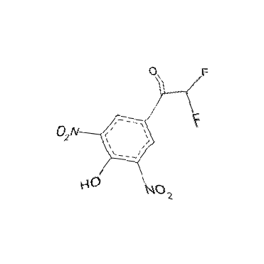 O=C(c1cc([N+](=O)[O-])c(O)c([N+](=O)[O-])c1)C(F)F